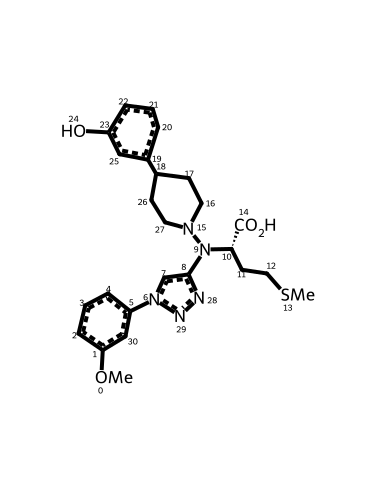 COc1cccc(-n2cc(N([C@@H](CCSC)C(=O)O)N3CCC(c4cccc(O)c4)CC3)nn2)c1